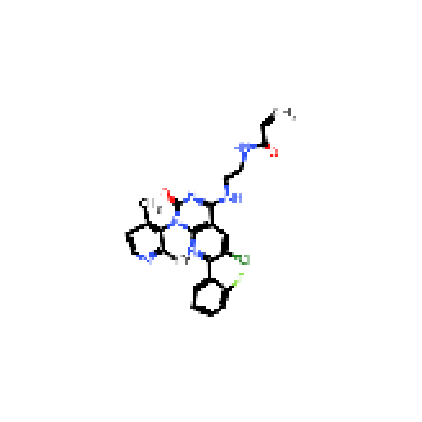 C=CC(=O)NCCNc1nc(=O)n(-c2c(C)ccnc2C(C)C)c2nc(-c3ccccc3F)c(Cl)cc12